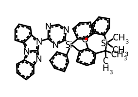 CC1(C)c2cccc([Si](c3ccccc3)(c3ccccc3)c3ncnc(-n4c5ccccc5n5c6ccccc6nc45)n3)c2Oc2ccccc2[Si]1(C)C